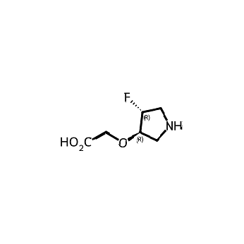 O=C(O)CO[C@@H]1CNC[C@H]1F